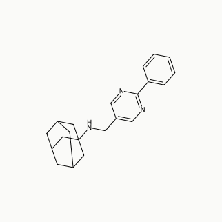 c1ccc(-c2ncc(CNC34CC5CC(CC(C5)C3)C4)cn2)cc1